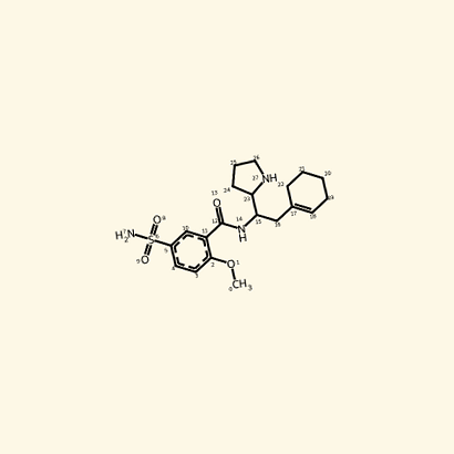 COc1ccc(S(N)(=O)=O)cc1C(=O)NC(CC1=CCCCC1)C1CCCN1